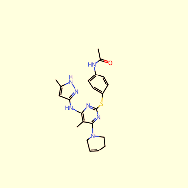 CC(=O)Nc1ccc(Sc2nc(Nc3cc(C)[nH]n3)c(C)c(N3CC=CCC3)n2)cc1